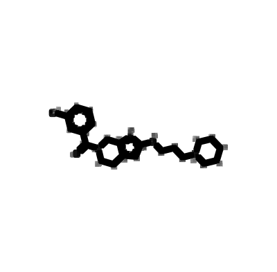 O=C(c1cccc(Cl)c1)N1CCc2cc(OCCCN3CCCCC3)sc2C1